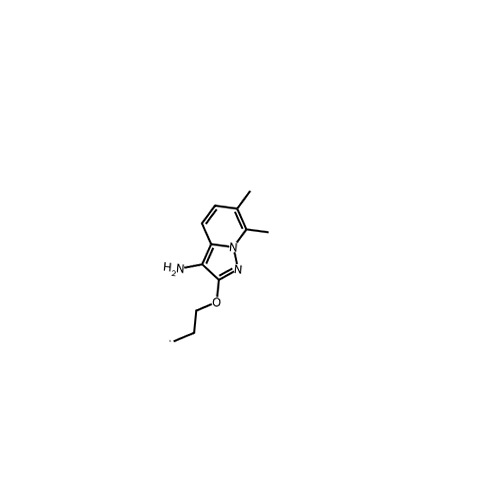 [CH2]CCOc1nn2c(C)c(C)ccc2c1N